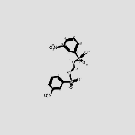 O=[N+]([O-])c1cccc(S(=O)(=O)OCOS(=O)(=O)c2cccc([N+](=O)[O-])c2)c1